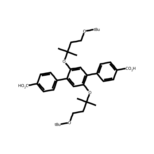 CC(C)(C)OCCC(C)(C)Oc1cc(-c2ccc(C(=O)O)cc2)c(OC(C)(C)CCOC(C)(C)C)cc1-c1ccc(C(=O)O)cc1